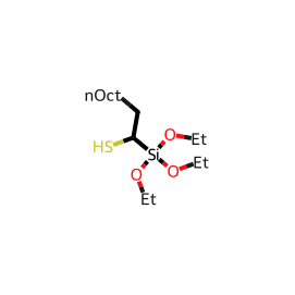 CCCCCCCCCC(S)[Si](OCC)(OCC)OCC